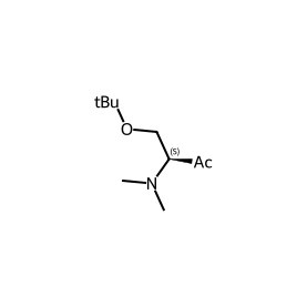 CC(=O)[C@H](COC(C)(C)C)N(C)C